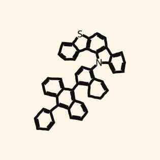 C1=Cc2c(-n3c4ccccc4c4ccc5sc6ccccc6c5c43)ccc(-c3c4ccccc4c(-c4ccccc4)c4ccccc34)c2CC1